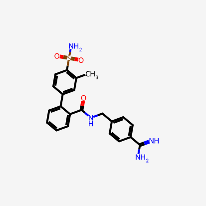 Cc1cc(-c2ccccc2C(=O)NCc2ccc(C(=N)N)cc2)ccc1S(N)(=O)=O